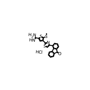 CSc1sc(C(=N)N)cc1-c1nc(-c2cccc3c2-c2ccccc2C3=O)cs1.Cl